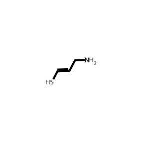 NCC=CS